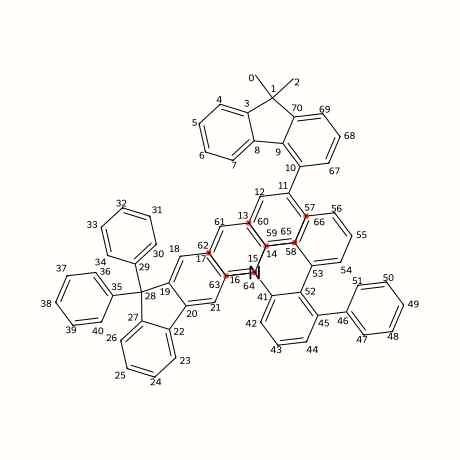 CC1(C)c2ccccc2-c2c(-c3ccc(N(c4ccc5c(c4)-c4ccccc4C5(c4ccccc4)c4ccccc4)c4cccc(-c5ccccc5)c4-c4ccccc4-c4ccccc4)cc3)cccc21